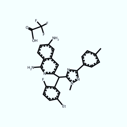 CCc1ccc(F)c(C(c2cc3cc(N)ccc3c(N)n2)c2nc(-c3ccc(C)cc3)nn2C)c1.O=C(O)C(F)(F)F